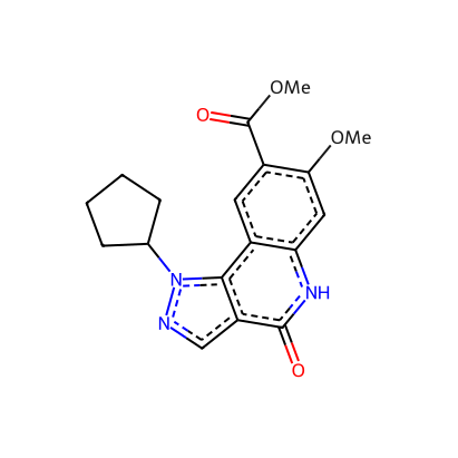 COC(=O)c1cc2c(cc1OC)[nH]c(=O)c1cnn(C3CCCC3)c12